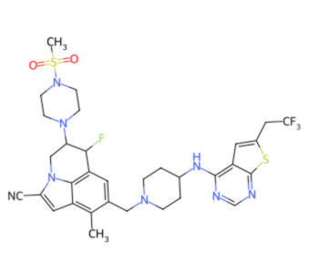 Cc1c(CN2CCC(Nc3ncnc4sc(CC(F)(F)F)cc34)CC2)cc2c3c1cc(C#N)n3CC(N1CCN(S(C)(=O)=O)CC1)C2F